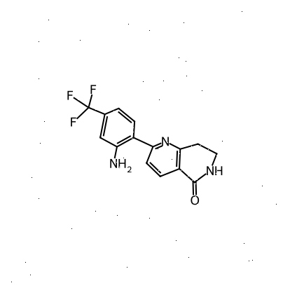 Nc1cc(C(F)(F)F)ccc1-c1ccc2c(n1)CCNC2=O